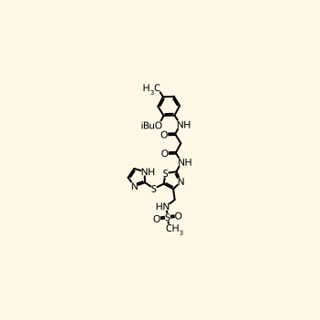 Cc1ccc(NC(=O)CC(=O)Nc2nc(CNS(C)(=O)=O)c(Sc3ncc[nH]3)s2)c(OCC(C)C)c1